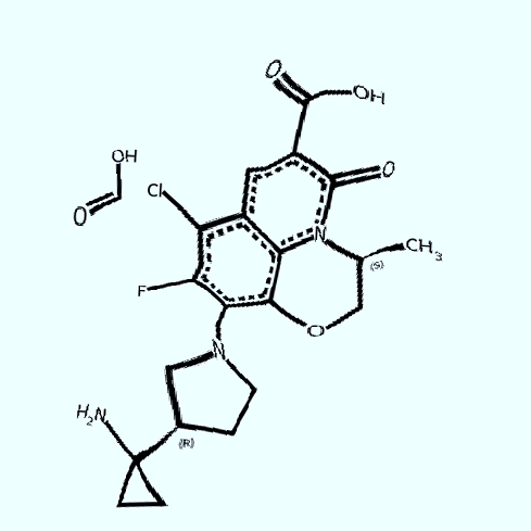 C[C@H]1COc2c(N3CC[C@@H](C4(N)CC4)C3)c(F)c(Cl)c3cc(C(=O)O)c(=O)n1c23.O=CO